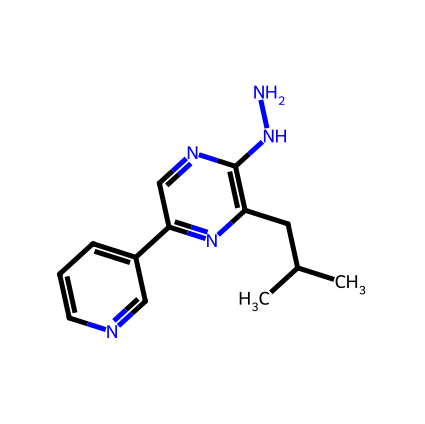 CC(C)Cc1nc(-c2cccnc2)cnc1NN